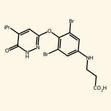 CC(C)c1cc(Oc2c(Br)cc(NCCC(=O)O)cc2Br)n[nH]c1=O